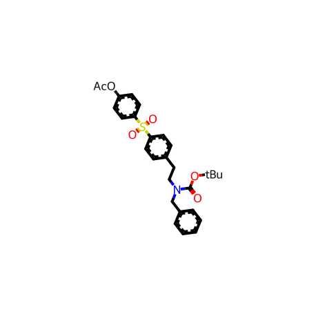 CC(=O)Oc1ccc(S(=O)(=O)c2ccc(CCN(Cc3ccccc3)C(=O)OC(C)(C)C)cc2)cc1